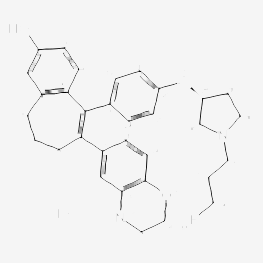 Cl.Oc1ccc2c(c1)CCCC(c1ccc3c(c1)NCCO3)=C2c1ccc(O[C@H]2CCN(CCCF)C2)cc1